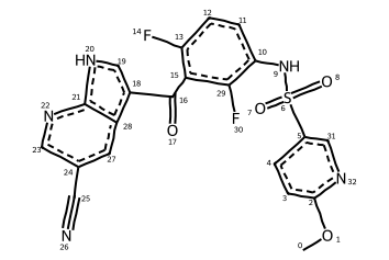 COc1ccc(S(=O)(=O)Nc2ccc(F)c(C(=O)c3c[nH]c4ncc(C#N)cc34)c2F)cn1